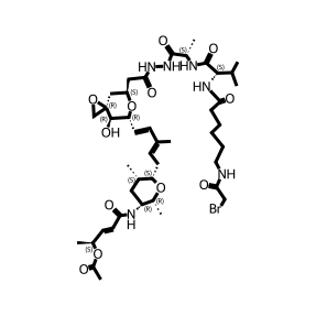 CC(=O)O[C@@H](C)C=CC(=O)N[C@@H]1C[C@H](C)[C@H](CC=C(C)C=C[C@H]2O[C@H](CC(=O)NNC(=O)[C@H](C)NC(=O)[C@@H](NC(=O)CCCCCNC(=O)CBr)C(C)C)C[C@@]3(CO3)[C@@H]2O)O[C@@H]1C